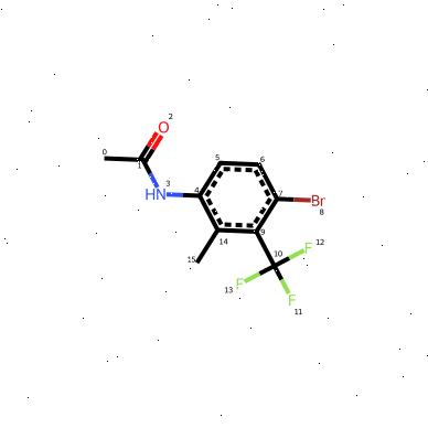 CC(=O)Nc1ccc(Br)c(C(F)(F)F)c1C